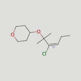 CC/C=C(/Cl)C(C)(C)OC1CCOCC1